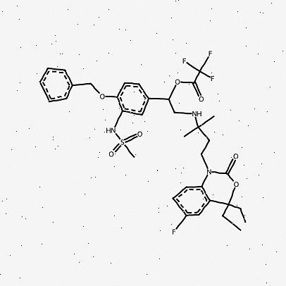 CCC1(CC)OC(=O)N(CCC(C)(C)NCC(OC(=O)C(F)(F)F)c2ccc(OCc3ccccc3)c(NS(C)(=O)=O)c2)c2ccc(F)cc21